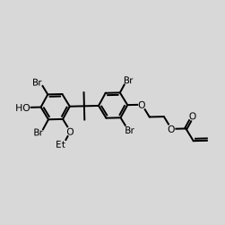 C=CC(=O)OCCOc1c(Br)cc(C(C)(C)c2cc(Br)c(O)c(Br)c2OCC)cc1Br